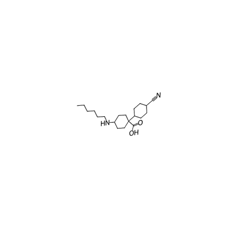 CCCCCCNC1CCC(C(=O)O)(C2CCC(C#N)CC2)CC1